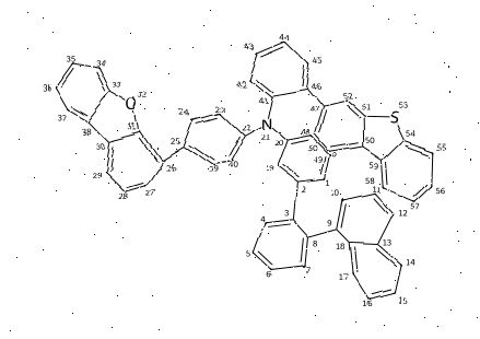 c1cc(-c2ccccc2-c2cccc3ccccc23)cc(N(c2ccc(-c3cccc4c3oc3ccccc34)cc2)c2ccccc2-c2ccc3c(c2)sc2ccccc23)c1